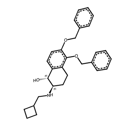 O[C@@H]1c2ccc(OCc3ccccc3)c(OCc3ccccc3)c2CC[C@H]1NCC1CCC1